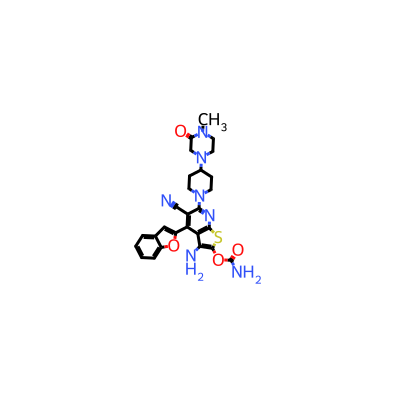 CN1CCN(C2CCN(c3nc4sc(OC(N)=O)c(N)c4c(-c4cc5ccccc5o4)c3C#N)CC2)CC1=O